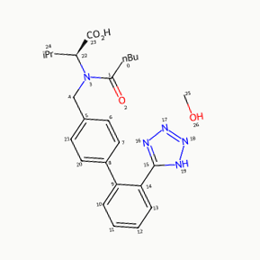 CCCCC(=O)N(Cc1ccc(-c2ccccc2-c2nnn[nH]2)cc1)[C@H](C(=O)O)C(C)C.CO